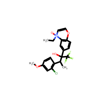 CC[N+]1([O-])C=COc2ccc(C(O)(C(C)c3ccc(OC)cc3Cl)C(F)(F)F)cc21